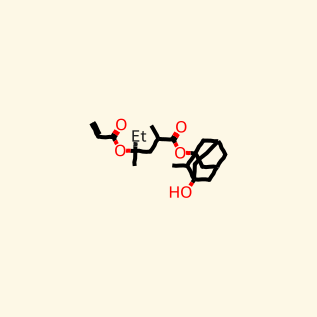 C=CC(=O)OC(C)(CC)CC(C)C(=O)OC12CC3CC(CC(O)(C3)C1C)C2